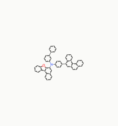 c1ccc(-c2cccc(N(c3ccc(-c4cc5ccc6ccccc6c5c5ccccc45)cc3)c3cc4ccccc4c4c3oc3ccccc34)c2)cc1